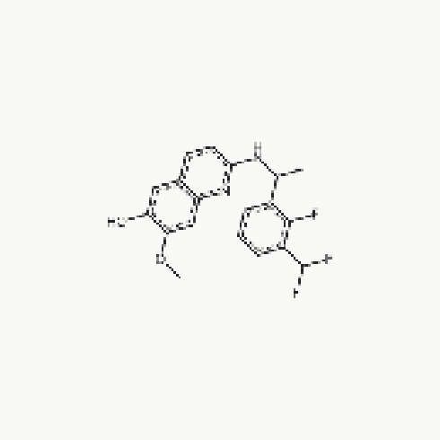 COc1cc2nc(NC(C)c3cccc(C(F)F)c3F)ccc2cc1O